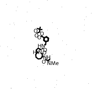 CN[C@@H](C)C(=O)N[C@H]1CCCC[C@H]2CC[C@@H](C(=O)NCc3cccc(C(=O)OC4C(=O)OCC4(C)C)c3)N2C1=O